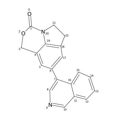 O=C1OCc2cc(-c3cncc4ccccc34)cc3c2N1CC3